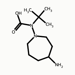 CC(C)(C)N(C(=O)O)N1CCCC(N)CC1